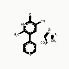 C=C.C=CC(=O)O.Cc1[nH]c(=O)c(C#N)cc1-c1ccncc1